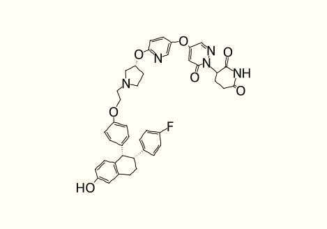 O=C1CCC(n2ncc(Oc3ccc(O[C@@H]4CCN(CCOc5ccc([C@H]6c7ccc(O)cc7CC[C@H]6c6ccc(F)cc6)cc5)C4)nc3)cc2=O)C(=O)N1